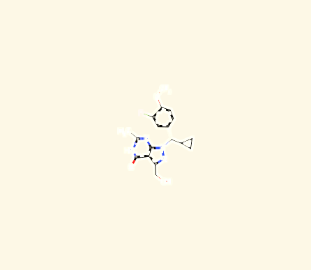 Cc1nc2c(c(CO)nn2[C@H](c2ccc(OC(F)(F)F)c(F)c2)C2CC2)c(=O)[nH]1